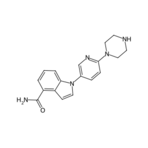 NC(=O)c1cccc2c1ccn2-c1ccc(N2CCNCC2)nc1